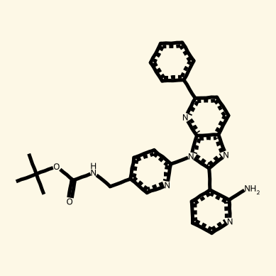 CC(C)(C)OC(=O)NCc1ccc(-n2c(-c3cccnc3N)nc3ccc(-c4ccccc4)nc32)nc1